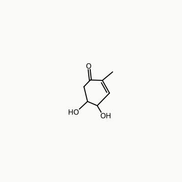 CC1=CC(O)C(O)CC1=O